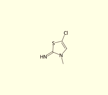 Cn1cc(Cl)sc1=N